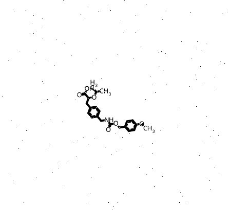 COc1ccc(COC(=O)NCc2ccc(CC(OC(C)C)C(=O)O)cc2)cc1